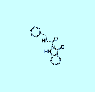 O=C(NCc1ccccc1)n1[nH]c2ccccc2c1=O